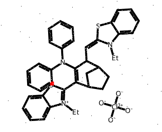 CCN1C(=CC2C(N(c3ccccc3)c3ccccc3)=C(c3sc4ccccc4[n+]3CC)C3CCC2C3)Sc2ccccc21.[O-][Cl+3]([O-])([O-])[O-]